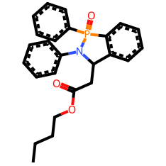 CCCCOC(=O)CC1c2ccccc2P(=O)(c2ccccc2)N1c1ccccc1